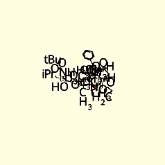 C=CC1O[C@H]2C[C@H]3OC[C@@]3(C)[C@H]3[C@H](OC(=O)c4ccccc4)[C@]4(C(C)(C)O)C[C@H](OC(=O)C(O)[C@H](CC(C)C)NC(=O)OC(C)(C)C)C(C)=C4[C@H](C)[C@H](O1)[C@]23C